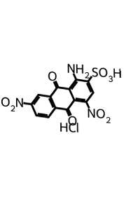 Cl.Nc1c(S(=O)(=O)O)cc([N+](=O)[O-])c2c1C(=O)c1cc([N+](=O)[O-])ccc1C2=O